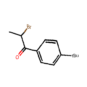 CC(Br)C(=O)c1ccc(C(C)(C)C)cc1